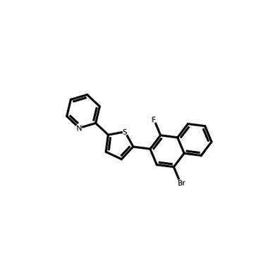 Fc1c(-c2ccc(-c3ccccn3)s2)cc(Br)c2ccccc12